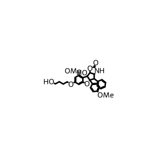 COc1ccc(C23Oc4cc(OCCCCO)cc(OC)c4C2(O)C2OC(=O)NC2C3c2ccccc2)cc1